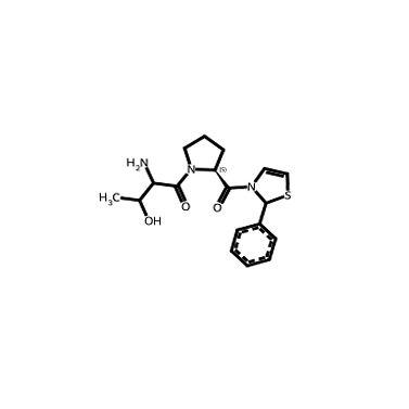 CC(O)C(N)C(=O)N1CCC[C@H]1C(=O)N1C=CSC1c1ccccc1